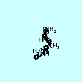 CN(c1ccc2c(c1)nc(NCCc1ccccc1)n2C)c1ccnc(Nc2ccc(CS(N)(=O)=O)cc2)n1